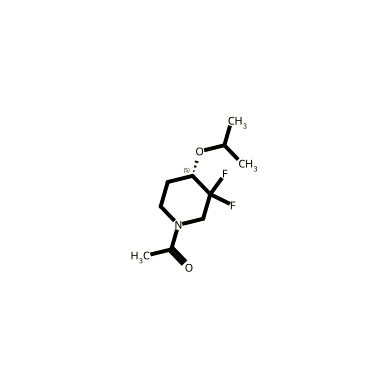 CC(=O)N1CC[C@H](OC(C)C)C(F)(F)C1